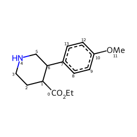 CCOC(=O)C1CCNCC1c1ccc(OC)cc1